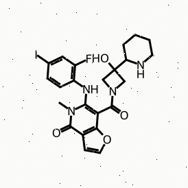 Cn1c(Nc2ccc(I)cc2F)c(C(=O)N2CC(O)(C3CCCCN3)C2)c2occc2c1=O